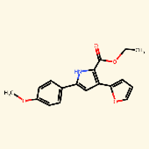 CCOC(=O)c1[nH]c(-c2ccc(OC)cc2)cc1-c1ccco1